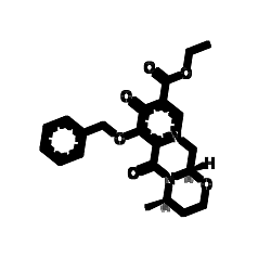 CCOC(=O)c1cn2c(c(OCc3ccccc3)c1=O)C(=O)N1[C@H](C)CCO[C@H]1C2